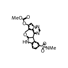 CNS(=O)(=O)c1ccc2c(c1)C(c1ncnn3cc(OC(=O)OC)c(C)c13)C(=O)N2